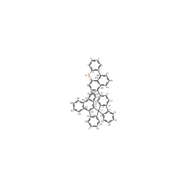 c1ccc2c(c1)Sc1ccc(-c3ccc4c(c3)C3(c5ccccc5-4)c4ccccc4-c4c3c3ccccc3c3ccccc43)c3cccc-2c13